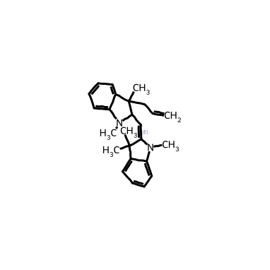 C=CCC1(C)c2ccccc2N(C)C1/C=C1/N(C)c2ccccc2C1(C)C